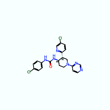 O=C(Nc1ccc(Cl)cc1)N[C@@H]1CCN(c2ccncn2)C[C@H]1c1ccc(Cl)cn1